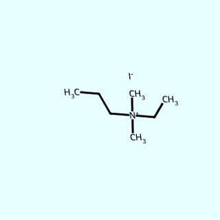 CCC[N+](C)(C)CC.[I-]